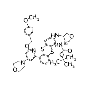 COc1ccc(COc2cc(N3CCOCC3)cc(-c3cccc4c3Sc3ccc(NC5COC[C@@H]5NC(=O)OC(C)(C)C)cc3S4)n2)cc1